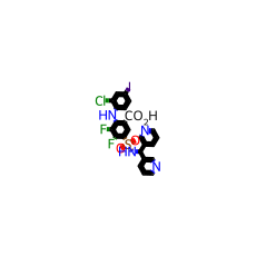 O=C(O)c1cc(S(=O)(=O)NC(c2cccnc2)c2cccnc2)c(F)c(F)c1Nc1ccc(I)cc1Cl